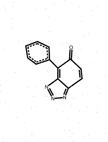 O=C1C=CC2=NN=NC2=C1c1ccccc1